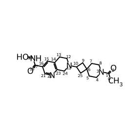 CC(=O)N1CCC2(CC1)CC(N1CCc3cc(C(=O)NO)cnc3C1)C2